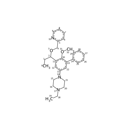 CCC(OCc1ccccn1)c1cc(N2CCN(CC)CC2)cc(-c2ccccc2)c1OC